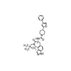 CC(C)(C)CN1Cc2c(ccc3[nH]ncc23)C[C@@H](NC(=O)N2CCC(c3cc(-c4ccccc4)no3)CC2)C1=O